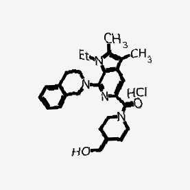 CCn1c(C)c(C)c2cc(C(=O)N3CCC(CO)CC3)nc(N3CCc4ccccc4C3)c21.Cl